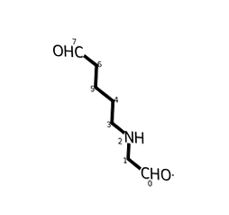 O=[C]CNCCCCC=O